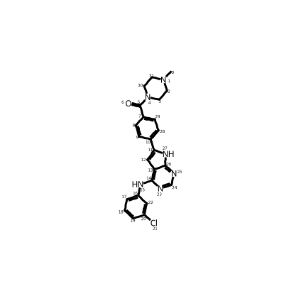 CN1CCN(C(=O)c2ccc(-c3cc4c(Nc5cccc(Cl)c5)ncnc4[nH]3)cc2)CC1